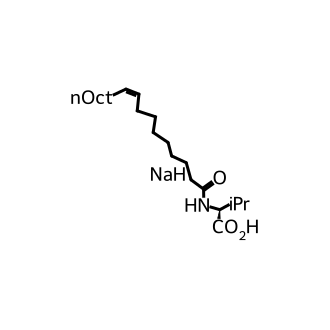 CCCCCCCC/C=C\CCCCCCCC(=O)N[C@H](C(=O)O)C(C)C.[NaH]